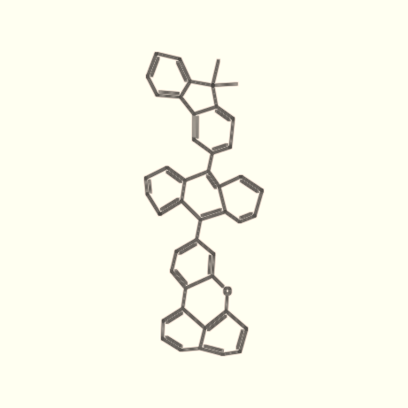 CC1(C)c2ccccc2-c2cc(-c3c4ccccc4c(-c4ccc5c(c4)Oc4cccc6cccc-5c46)c4ccccc34)ccc21